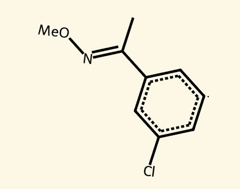 CON=C(C)c1c[c]cc(Cl)c1